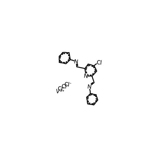 Clc1cc(C=Nc2ccccc2)nc(C=Nc2ccccc2)c1.[Cl-].[Cl-].[Cl-].[V+3]